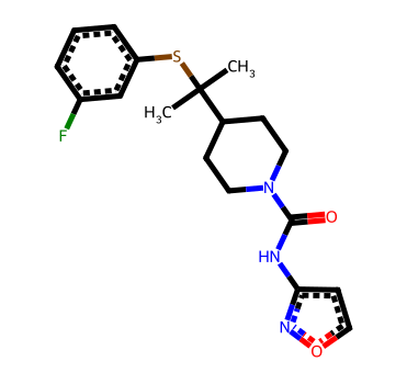 CC(C)(Sc1cccc(F)c1)C1CCN(C(=O)Nc2ccon2)CC1